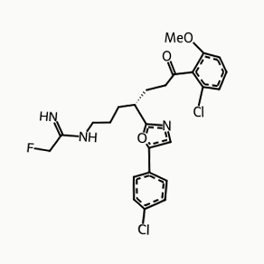 COc1cccc(Cl)c1C(=O)CC[C@@H](CCCNC(=N)CF)c1ncc(-c2ccc(Cl)cc2)o1